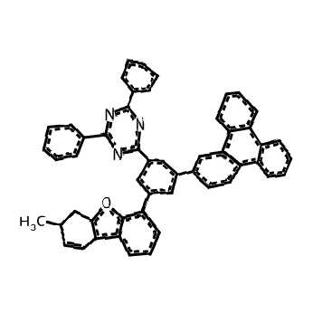 CC1C=Cc2c(oc3c(-c4cc(-c5ccc6c7ccccc7c7ccccc7c6c5)cc(-c5nc(-c6ccccc6)nc(-c6ccccc6)n5)c4)cccc23)C1